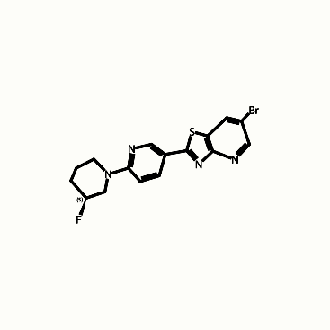 F[C@H]1CCCN(c2ccc(-c3nc4ncc(Br)cc4s3)cn2)C1